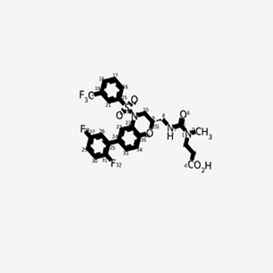 CN(CCC(=O)O)C(=O)NC[C@H]1CN(S(=O)(=O)c2cccc(C(F)(F)F)c2)c2cc(-c3cc(F)ccc3F)ccc2O1